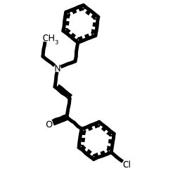 CCN(C=CC(=O)c1ccc(Cl)cc1)Cc1ccccc1